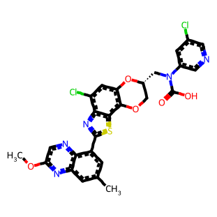 COc1cnc2c(-c3nc4c(Cl)cc5c(c4s3)OC[C@@H](CN(C(=O)O)c3cncc(Cl)c3)O5)cc(C)cc2n1